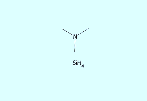 CN(C)C.[SiH4]